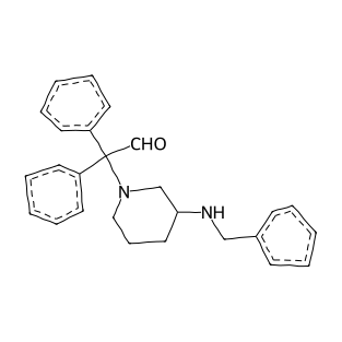 O=CC(c1ccccc1)(c1ccccc1)N1CCCC(NCc2ccccc2)C1